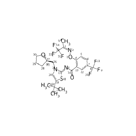 CC(=NOc1ccc(C(F)(F)F)cc1C(=O)N=c1sc(C(C)(C)C)cn1C[C@H]1CCCO1)C(F)(F)F